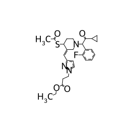 CCOC(=O)CCn1ccc(/C=C2\CN(C(C(=O)C3CC3)c3ccccc3F)CCC2SC(C)=O)n1